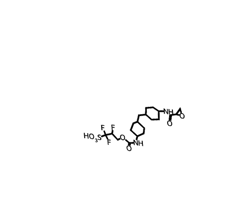 O=C(NC1CCC(CC2CCC(NC(=O)C3CO3)CC2)CC1)OCC(F)C(F)(F)S(=O)(=O)O